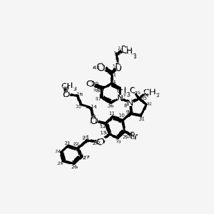 CCOC(=O)c1cn(N2C(c3cc(OCCCOC)c(OCc4ccccc4)cc3Br)CCC2(C)C)ccc1=O